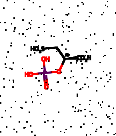 O=C(O)[C@H](CS(=O)(=O)O)OP(=O)(O)O